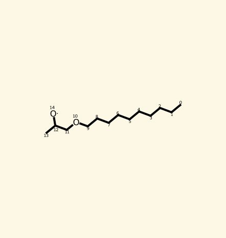 CCCCCCCCCCOCC(C)[O]